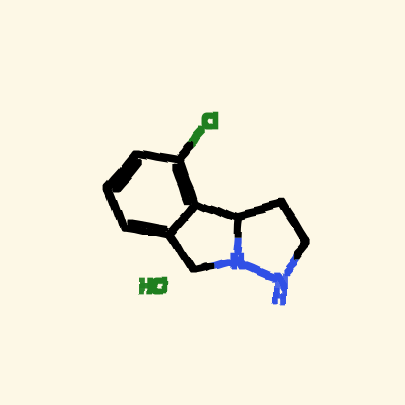 Cl.Clc1cccc2c1C1CCNN1C2